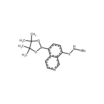 CC(C)(C)NSc1ccc(B2OC(C)(C)C(C)(C)O2)c2ccncc12